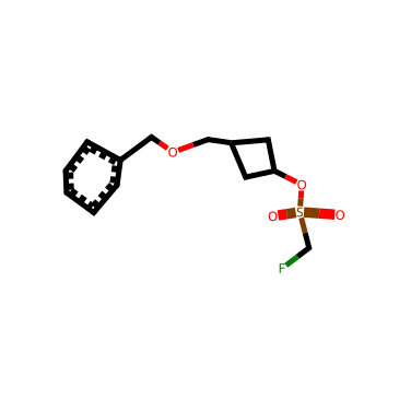 O=S(=O)(CF)OC1CC(COCc2ccccc2)C1